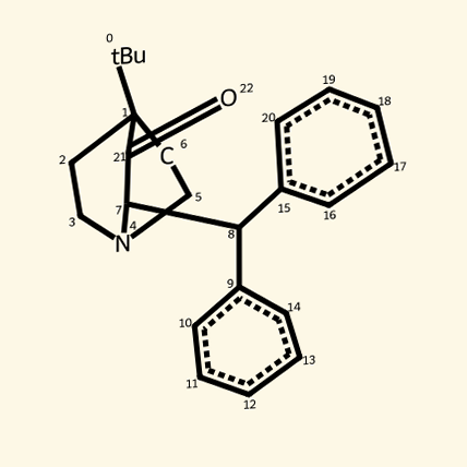 CC(C)(C)C12CCN(CC1)C(C(c1ccccc1)c1ccccc1)C2=O